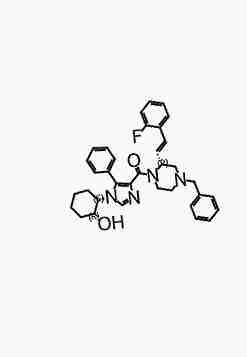 O=C(c1ncn([C@H]2CCCC[C@H]2O)c1-c1ccccc1)N1CCN(Cc2ccccc2)C[C@H]1C=Cc1ccccc1F